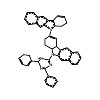 C1=CCCC(C2N=C(c3ccccc3)N=C(N3c4cc5ccccc5cc4C4C=C(n5c6c(c7cc8ccccc8cc75)C=CCC6)CCC43)N2)=C1